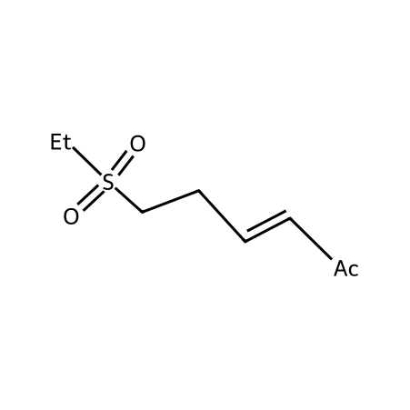 CCS(=O)(=O)CCC=CC(C)=O